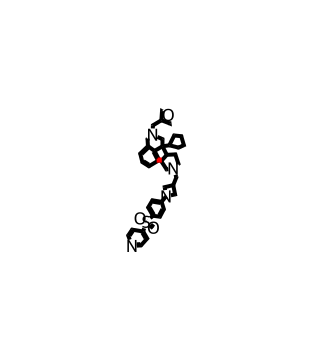 O=S(=O)(c1ccncc1)c1ccc(N2CC(CN3CCC(C4(C5CCCC5)CN(CC5COC5)Cc5ccccc54)CC3)C2)cc1